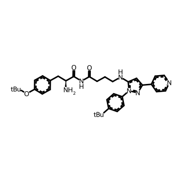 CC(C)(C)Oc1ccc(C[C@H](N)C(=O)NC(=O)CCCNc2cc(-c3ccncc3)nn2-c2ccc(C(C)(C)C)cc2)cc1